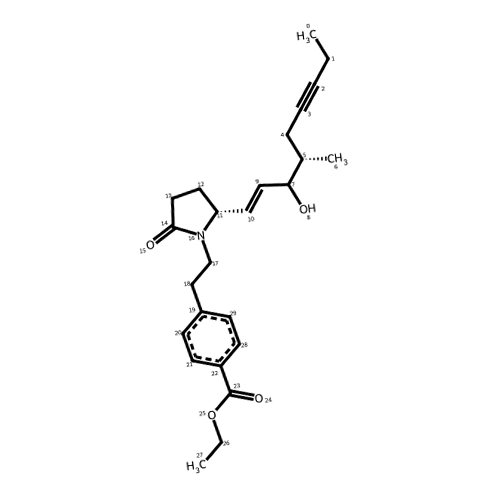 CCC#CC[C@H](C)C(O)/C=C/[C@H]1CCC(=O)N1CCc1ccc(C(=O)OCC)cc1